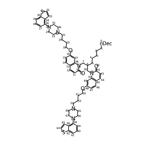 CCCCCCCCCCCCCCCC(Cn1c(=O)ccc2ccc(OCCCCN3CCN(c4cccc5sccc45)CC3)cc21)Cn1c(=O)ccc2ccc(OCCCCN3CCN(c4cccc5sccc45)CC3)cc21